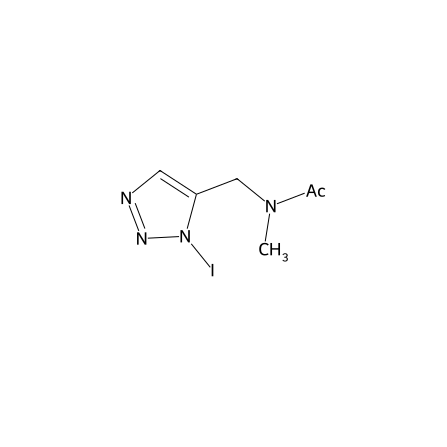 CC(=O)N(C)Cc1cnnn1I